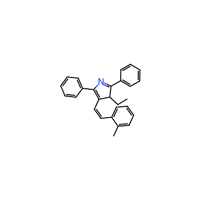 CCC1C(c2ccccc2)=NC(c2ccccc2)=C1/C=C\c1ccccc1C